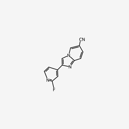 N#Cc1ccc2nc(-c3ccnc(F)c3)cn2c1